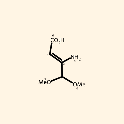 COC(OC)/C(N)=C/C(=O)O